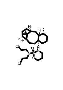 C[C@@H]1CCC[C@@]2(C)CC[C@H]3[C@H](C)CC[C@@H](C[C@H]12)C3(C)C.O=P1(N(CCCl)CCCl)NCCCO1